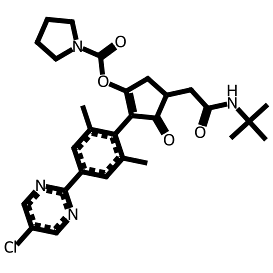 Cc1cc(-c2ncc(Cl)cn2)cc(C)c1C1=C(OC(=O)N2CCCC2)CC(CC(=O)NC(C)(C)C)C1=O